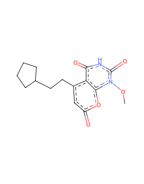 COn1c(=O)[nH]c(=O)c2c(CCC3CCCC3)cc(=O)oc21